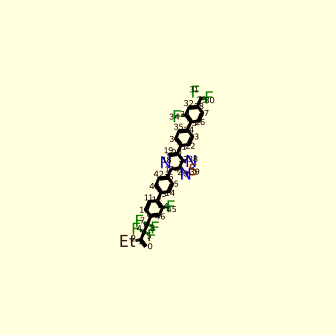 C=C(CC)C(F)(F)C(F)(F)c1ccc(-c2ccc(-c3ncc(-c4ccc(-c5ccc(C(F)F)cc5F)cc4)c4nsnc34)cc2)c(F)c1